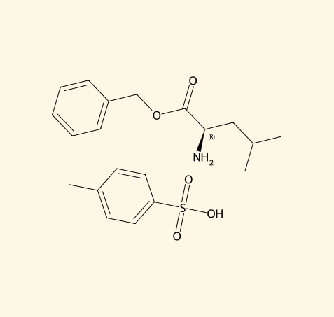 CC(C)C[C@@H](N)C(=O)OCc1ccccc1.Cc1ccc(S(=O)(=O)O)cc1